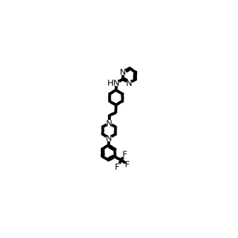 FC(F)(F)c1cccc(N2CCN(CCC3CCC(Nc4ncccn4)CC3)CC2)c1